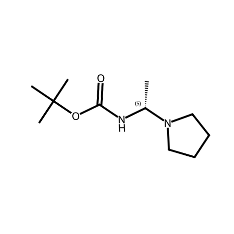 C[C@@H](NC(=O)OC(C)(C)C)N1CCCC1